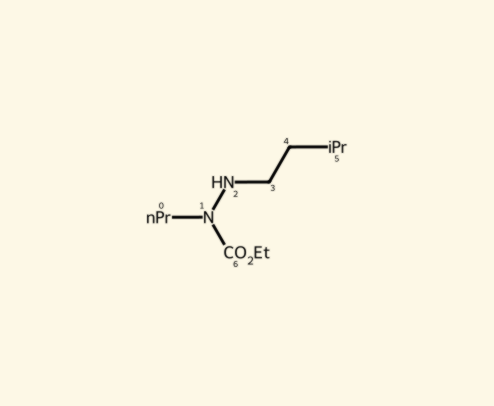 CCCN(NCCC(C)C)C(=O)OCC